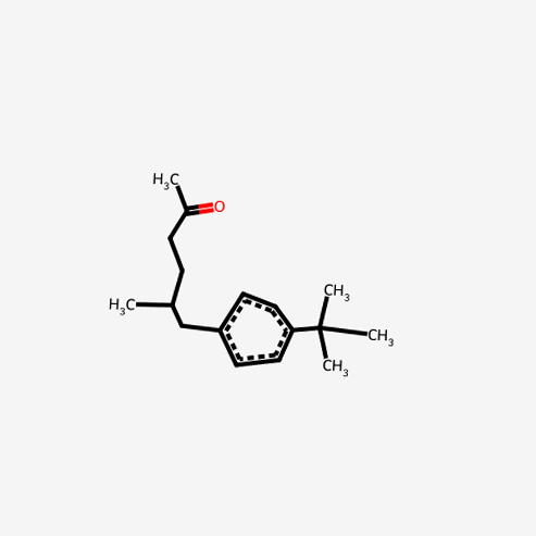 CC(=O)CCC(C)Cc1ccc(C(C)(C)C)cc1